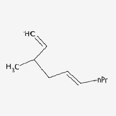 [CH]=CC(C)CC=CCCC